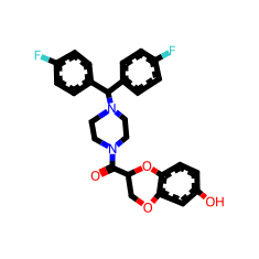 O=C(C1COc2cc(O)ccc2O1)N1CCN(C(c2ccc(F)cc2)c2ccc(F)cc2)CC1